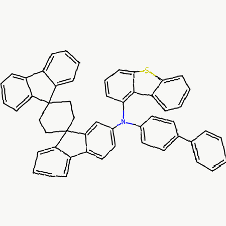 c1ccc(-c2ccc(N(c3ccc4c(c3)C3(CCC5(CC3)c3ccccc3-c3ccccc35)c3ccccc3-4)c3cccc4sc5ccccc5c34)cc2)cc1